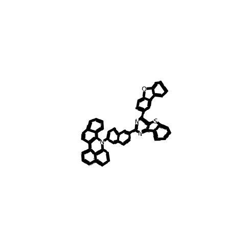 c1ccc2c3c(ccc2c1)-c1cccc2cccc(c12)N3c1ccc2cc(-c3nc(-c4ccc5oc6ccccc6c5c4)c4sc5ccccc5c4n3)ccc2c1